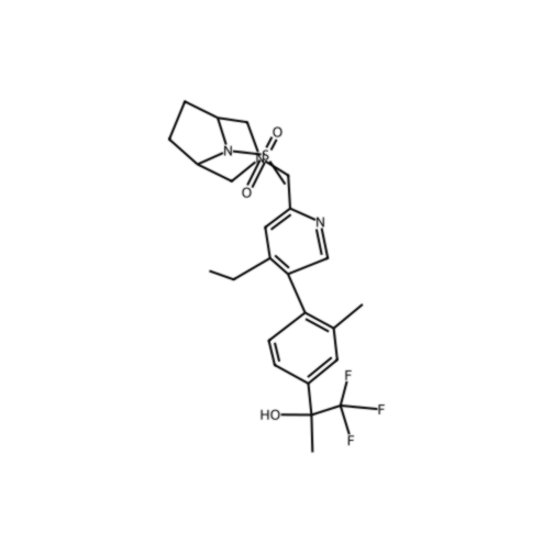 CCc1cc(CN2CC3CCC(C2)N3S(C)(=O)=O)ncc1-c1ccc(C(C)(O)C(F)(F)F)cc1C